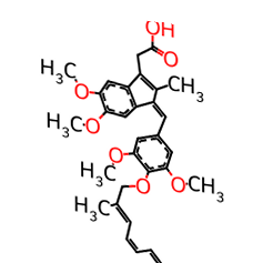 C=C/C=C\C=C(/C)COc1c(OC)cc(/C=C2/C(C)=C(CC(=O)O)c3cc(OC)c(OC)cc32)cc1OC